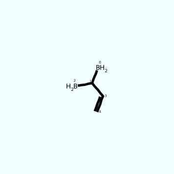 BC(B)C=C